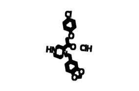 Cl.O=C(COc1ccc(Cl)cc1)C1CNCCN1Cc1ccc2c(c1)OCO2